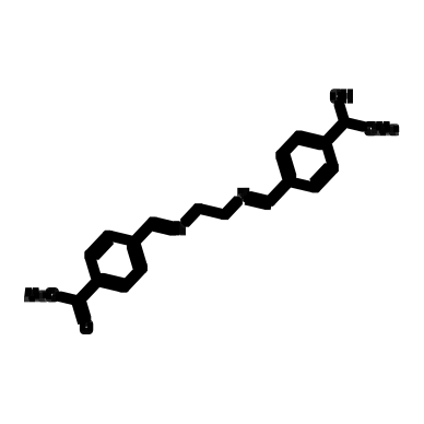 COC(=O)c1ccc(/C=N/CC/N=C/c2ccc(C(O)OC)cc2)cc1